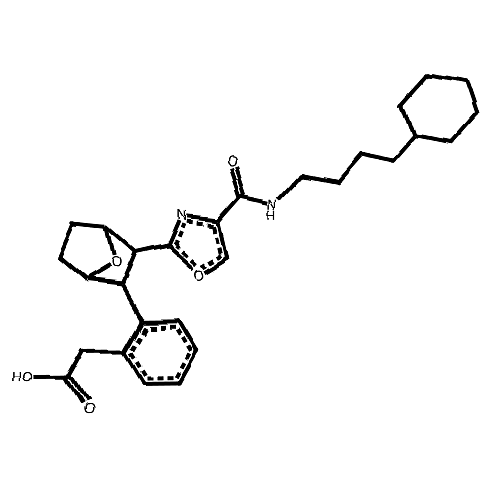 O=C(O)Cc1ccccc1C1C2CCC(O2)C1c1nc(C(=O)NCCCCC2CCCCC2)co1